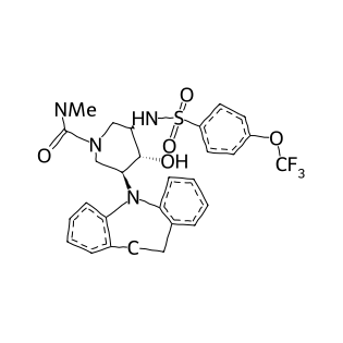 CNC(=O)N1C[C@@H](NS(=O)(=O)c2ccc(OC(F)(F)F)cc2)[C@H](O)[C@@H](N2c3ccccc3CCc3ccccc32)C1